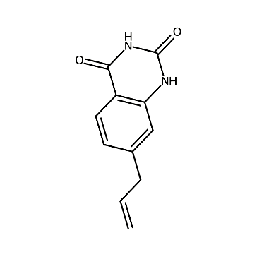 C=CCc1ccc2c(=O)[nH]c(=O)[nH]c2c1